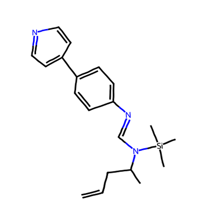 C=CCC(C)N(/C=N/c1ccc(-c2ccncc2)cc1)[Si](C)(C)C